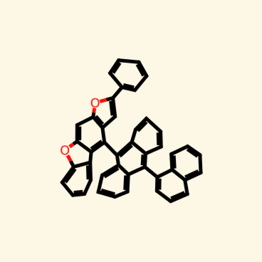 c1ccc(-c2cc3c(-c4c5ccccc5c(-c5cccc6ccccc56)c5ccccc45)c4c(cc3o2)oc2ccccc24)cc1